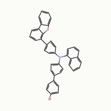 Brc1ccc(-c2ccc(N(c3ccc(-c4cccc5c4oc4ccccc45)cc3)c3cccc4ccccc34)cc2)cc1